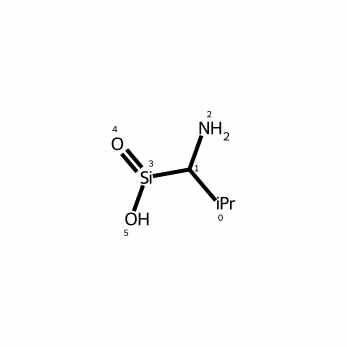 CC(C)C(N)[Si](=O)O